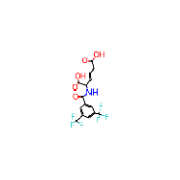 O=C(O)CCCC(NC(=O)c1cc(C(F)(F)F)cc(C(F)(F)F)c1)C(=O)O